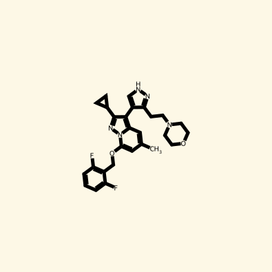 Cc1cc(OCc2c(F)cccc2F)n2nc(C3CC3)c(-c3c[nH]nc3CCN3CCOCC3)c2c1